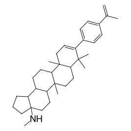 C=C(C)c1ccc(C2=CCC3(C)C(CCC4(C)C5CCC6(NC)CCCC6C5CCC43)C2(C)C)cc1